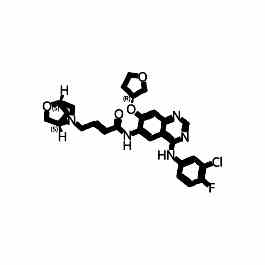 O=C(C=CCN1C[C@@H]2C[C@H]1CO2)Nc1cc2c(Nc3ccc(F)c(Cl)c3)ncnc2cc1O[C@@H]1CCOC1